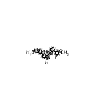 COc1cc(F)cc(-c2nccc3[nH]c(-c4n[nH]c5ccc(-c6cncc(CN(C)C)c6)nc45)nc23)c1